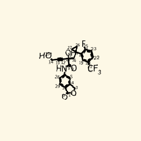 O=C1OCc2cc(NC(=O)C(O)(C#CCO)CC3(c4cc(C(F)(F)F)ccc4F)CC3)ccc21